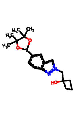 CC1(C)OB(c2ccc3nn(CC4(O)CCC4)cc3c2)OC1(C)C